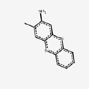 Cc1cc2nc3cc[c]cc3nc2cc1N